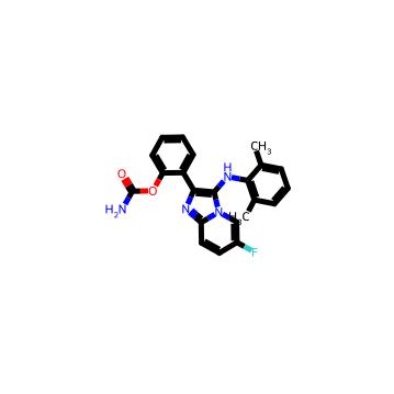 Cc1cccc(C)c1Nc1c(-c2ccccc2OC(N)=O)nc2ccc(F)cn12